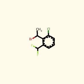 CC(Br)c1c(Cl)cccc1C(F)F